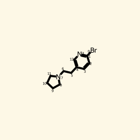 Brc1ccc(CCN2CCCC2)cn1